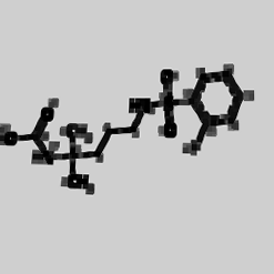 CC(C)(CCCNS(=O)(=O)c1ccccc1F)NC(=O)O